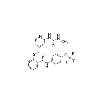 CNC(=O)Nc1cc(CSc2ncccc2C(=O)Nc2ccc(OC(F)(F)F)cc2)ccn1